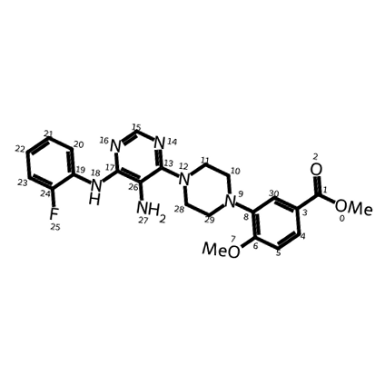 COC(=O)c1ccc(OC)c(N2CCN(c3ncnc(Nc4ccccc4F)c3N)CC2)c1